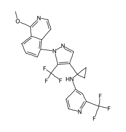 COc1nccc2c(-n3ncc(C4(Nc5ccnc(C(F)(F)F)c5)CC4)c3C(F)(F)F)cccc12